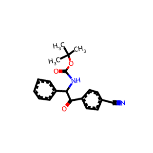 CC(C)(C)OC(=O)NC(C(=O)c1ccc(C#N)cc1)c1ccccc1